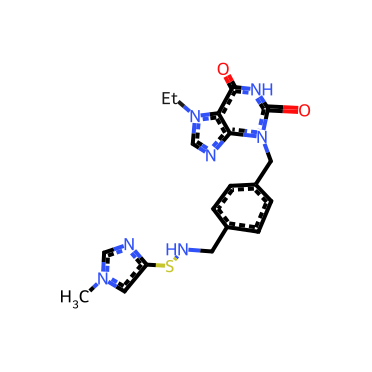 CCn1cnc2c1c(=O)[nH]c(=O)n2Cc1ccc(CNSc2cn(C)cn2)cc1